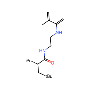 C=C(C)C(=C)NCCNC(=O)C(CC(C)(C)C)C(C)C